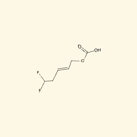 O=C(O)OCC=CCC(F)F